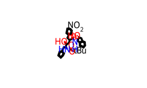 CC(C)(C)OC(=O)NC(Cc1ccccc1)C(O)CC(Cc1ccc([N+](=O)[O-])cc1)C(=O)N[C@H]1c2ccccc2C[C@@H]1O